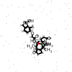 C[C@@H]1CC[C@@]23CCC(=O)[C@H]2[C@]1(C)[C@H](OC(=O)COc1ccc2c(c1F)B(O)OC2)C[C@@]1(CCC(=O)N1C)[C@@H](O)[C@@H]3C